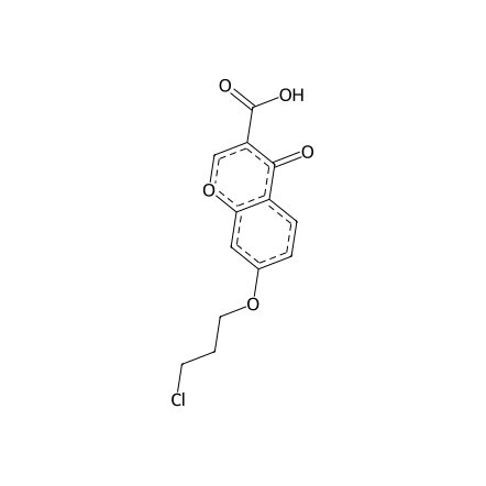 O=C(O)c1coc2cc(OCCCCl)ccc2c1=O